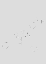 COc1ccc(-c2cnc(NC(=O)CCc3ccccc3)c(CCc3ccccc3)n2)cc1